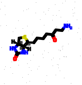 NCCC(=O)CCCC[C@@H]1SC[C@@H]2NC(=O)N[C@@H]21